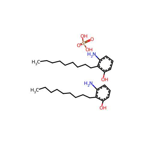 CCCCCCCCCc1c(N)cccc1O.CCCCCCCCCc1c(N)cccc1O.O=S(=O)(O)O